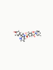 CN(C)S(=O)(=O)c1ccc(S(=O)(=O)n2cc(C3CCC(=O)CC3)c3ncccc32)cc1